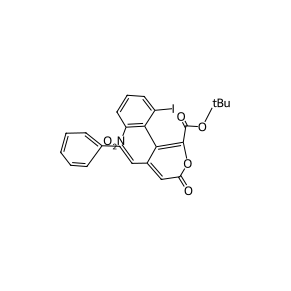 CC(C)(C)OC(=O)c1oc(=O)cc(/C=C/c2ccccc2)c1-c1c(I)cccc1[N+](=O)[O-]